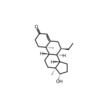 CC[C@@H]1CC2=CC(=O)CC[C@]2(C)[C@H]2CC[C@]3(C)[C@@H](O)CC[C@H]3[C@H]12